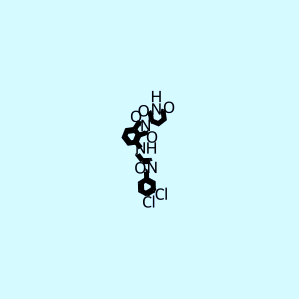 O=C1CCC(N2C(=O)c3cccc(NCc4cnc(-c5ccc(Cl)c(Cl)c5)o4)c3C2=O)C(=O)N1